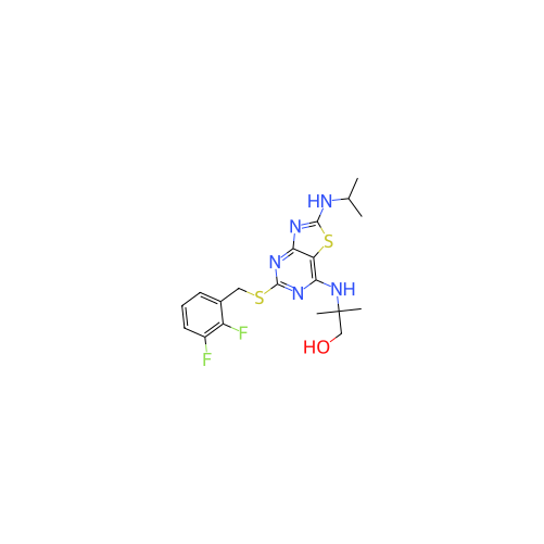 CC(C)Nc1nc2nc(SCc3cccc(F)c3F)nc(NC(C)(C)CO)c2s1